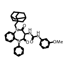 COc1cccc(NC(=O)NC2C(=O)N(CC34CC5CC(CC(C5)C3)C4)c3ccccc3N(c3ccccc3)C2=O)c1